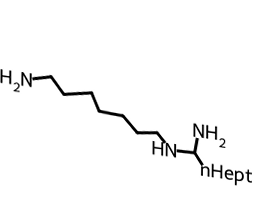 CCCCCCCC(N)NCCCCCCCN